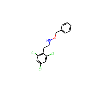 Clc1cc(Cl)c(CCNOCc2ccccc2)c(Cl)c1